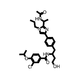 CCCn1cc(-c2ccc(CC(CCO)NC(=O)c3ccc(OC(C)C)c(Cl)c3)cc2)nc1C(C)NC(C)=O